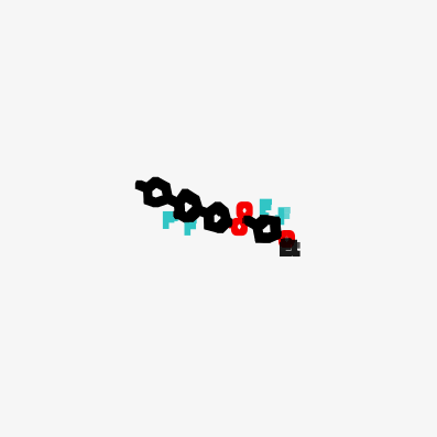 CCOc1ccc(C(=O)Oc2ccc(-c3ccc(C4CCC(C)CC4)c(F)c3F)cc2)c(F)c1F